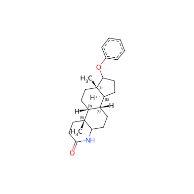 C[C@]12CCC(=O)NC1CC[C@@H]1[C@H]2CC[C@]2(C)C(Oc3ccccc3)CC[C@@H]12